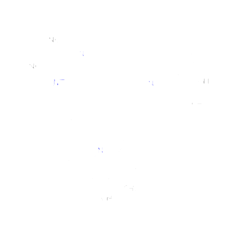 CC1(C)c2ccccc2N(c2ccc3c(c2)c2cc(N4c5ccccc5C(C)(C)c5ccccc54)ccc2c2nc(C#N)c(C#N)nc32)c2ccccc21